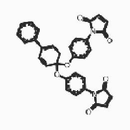 O=C1C=CC(=O)N1c1ccc(OC2(Oc3ccc(N4C(=O)C=CC4=O)cc3)C=CC(c3ccccc3)=CC2)cc1